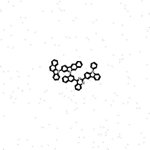 c1ccc(-n2c3ccccc3c3cc(-c4nc(-c5cc(-n6c7cc(-n8c9ccccc9c9ccc%10ccccc%10c98)ccc7c7cc8ccccc8cc76)c6ccccc6c5)c5ccccc5n4)ccc32)cc1